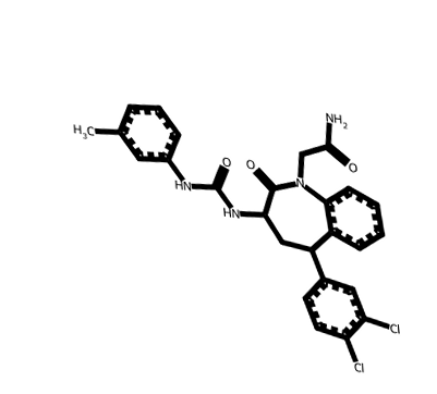 Cc1cccc(NC(=O)NC2CC(c3ccc(Cl)c(Cl)c3)c3ccccc3N(CC(N)=O)C2=O)c1